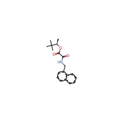 C[C@@H](OC(=O)C(=O)NCc1cccc2ccccc12)C(C)(C)C